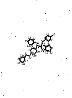 Cc1ccc(Cn2c(N(Cc3ccccc3)C3CCN(CCc4ccccc4)CC3)nc3ccccc32)cc1